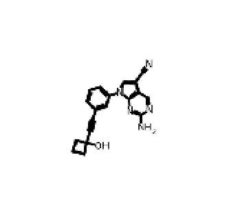 N#Cc1cn(-c2cccc(C#CC3(O)CCC3)c2)c2nc(N)ncc12